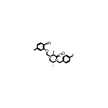 Cc1ccc(C(C)C)c(OCN2C[C@@H](C)N(Cc3ccc(F)cc3)C(=C=O)[C@@H]2C)c1